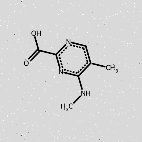 CNc1nc(C(=O)O)ncc1C